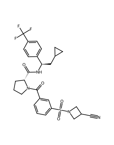 N#CC1CN(S(=O)(=O)c2cccc(C(=O)N3CCC[C@@H]3C(=O)N[C@H](CC3CC3)c3ccc(C(F)(F)F)cc3)c2)C1